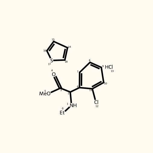 CCNC(C(=O)OC)c1ccccc1Cl.Cl.c1ccsc1